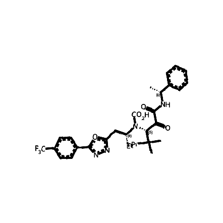 CCCC(C)(C)[C@@H](C(=O)C(=O)N[C@H](C)c1ccccc1)N(C(=O)O)[C@H](CC)Cc1nnc(-c2ccc(C(F)(F)F)cc2)o1